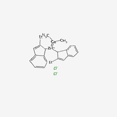 CCC1=Cc2ccccc2[CH]1[Zr+2]([CH]1C(CC)=Cc2ccccc21)=[Ge]([CH3])[CH3].[Cl-].[Cl-]